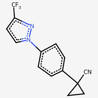 N#CC1(c2ccc(-n3ccc(C(F)(F)F)n3)cc2)CC1